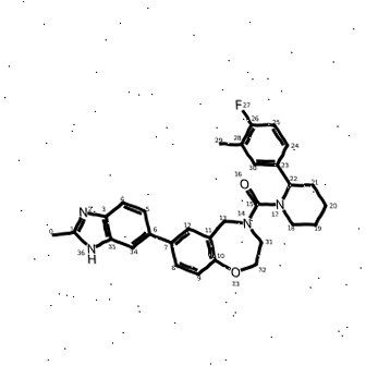 Cc1nc2ccc(-c3ccc4c(c3)CN(C(=O)N3CCCCC3c3ccc(F)c(C)c3)CCO4)cc2[nH]1